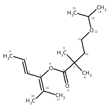 CC=CC(OC(=O)C(C)(C)CCOC(C)C)=C(C)C